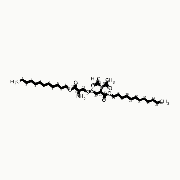 CCCCCCCCCCCCOC(=O)C(N)CSSCC(C(=O)OCCCCCCCCCCCC)N(C(C)=O)C(C)=O